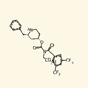 CCOC(=O)CN(C(=O)O[C@H]1CCN[C@H](Cc2ccccc2)C1)C(=O)c1cc(C(F)(F)F)cc(C(F)(F)F)c1